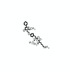 CCOC(Cc1ccc(OCCn2c(CC)nc(-c3ccccc3)cc2=O)cc1)C(=O)OC(=O)[C@@H](N)CCCCN